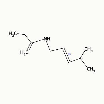 C=C(CC)NC/C=C/C(C)C